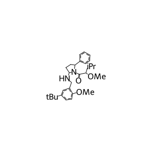 COc1ccc(C(C)(C)C)cc1CNC1CCC(c2ccccc2)N1C(=O)C(OC)C(C)C